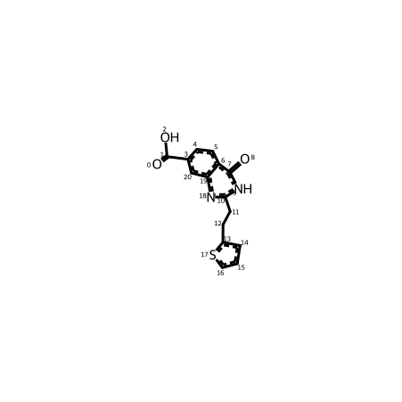 O=C(O)c1ccc2c(=O)[nH]c(CCc3cccs3)nc2c1